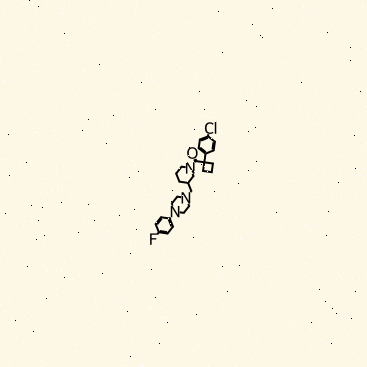 O=C(N1CCCC(CN2CCN(c3ccc(F)cc3)CC2)C1)C1(c2ccc(Cl)cc2)CCC1